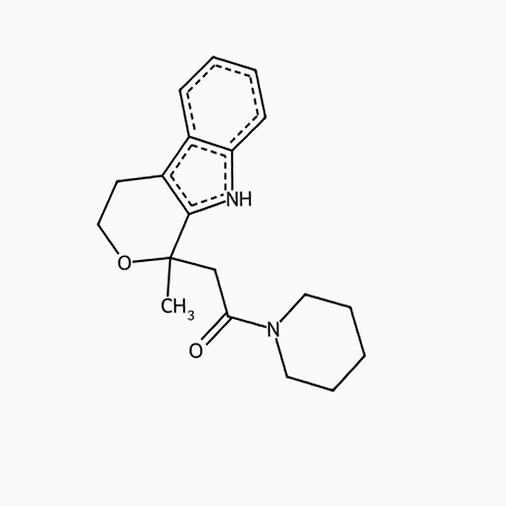 CC1(CC(=O)N2CCCCC2)OCCc2c1[nH]c1ccccc21